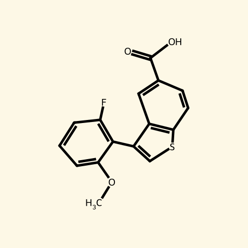 COc1cccc(F)c1-c1csc2ccc(C(=O)O)cc12